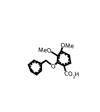 COc1ccc(C(=O)O)c(OCc2ccccc2)c1OC